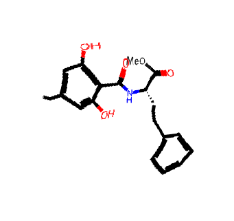 COC(=O)[C@H](CCc1ccccc1)NC(=O)c1c(O)cc(C)cc1O